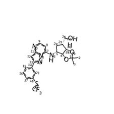 CC1(C)OC2[C@H](Nc3ccnc4cc(-c5cccc(SC(F)(F)F)c5)nn34)C[C@H](CO)[C@H]2O1